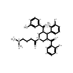 Cc1c(F)cccc1C1C(C(=O)c2cccc(O)c2)CN(C(=O)CCCN(C)C)CC1C(=O)c1ccccc1F